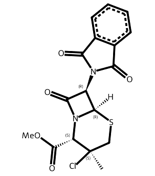 COC(=O)[C@@H]1N2C(=O)[C@@H](N3C(=O)c4ccccc4C3=O)[C@H]2SC[C@@]1(C)Cl